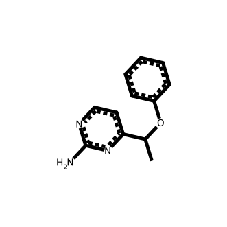 CC(Oc1ccccc1)c1ccnc(N)n1